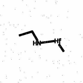 CC[NH][Hf][CH3]